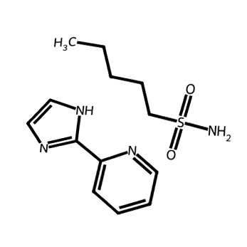 CCCCCS(N)(=O)=O.c1ccc(-c2ncc[nH]2)nc1